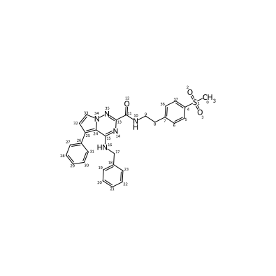 CS(=O)(=O)c1ccc(CCNC(=O)c2nc(NCc3ccccc3)c3c(-c4ccccc4)ccn3n2)cc1